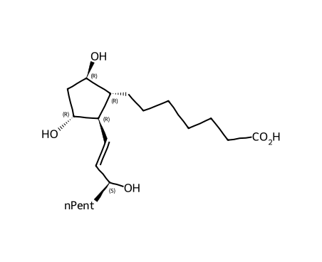 CCCCC[C@H](O)C=C[C@@H]1[C@@H](CCCCCCC(=O)O)[C@H](O)C[C@H]1O